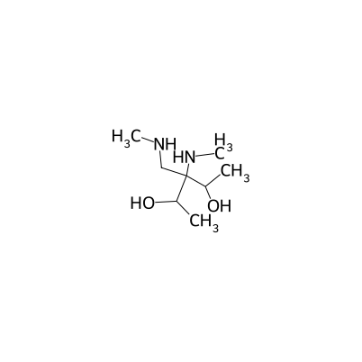 CNCC(NC)(C(C)O)C(C)O